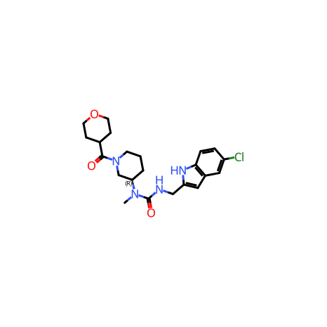 CN(C(=O)NCc1cc2cc(Cl)ccc2[nH]1)[C@@H]1CCCN(C(=O)C2CCOCC2)C1